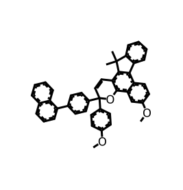 COc1ccc(C2(c3ccc(-c4cccc5ccccc45)cc3)C=Cc3c4c(c5ccc(OC)cc5c3O2)-c2ccccc2C4(C)C)cc1